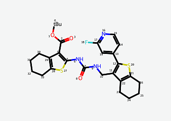 CC(C)(C)OC(=O)c1c(NC(=O)NCc2c(-c3ccnc(F)c3)sc3c2CCCC3)sc2c1CCCC2